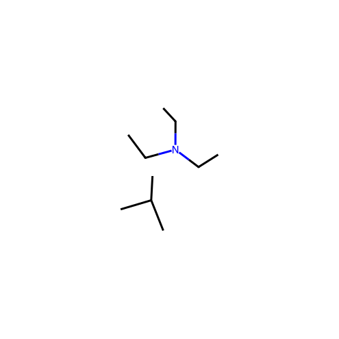 CC(C)C.CCN(CC)CC